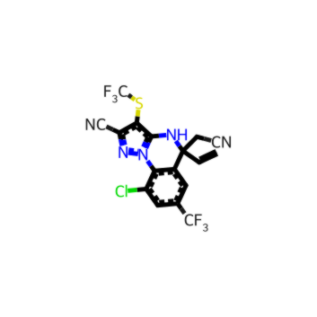 C=CC1(CC#N)Nc2c(SC(F)(F)F)c(C#N)nn2-c2c(Cl)cc(C(F)(F)F)cc21